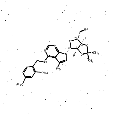 Bc1cn([C@@H]2O[C@H](CO)[C@H]3OC(C)(C)O[C@H]32)c2ncnc(NCc3ccc(OC)cc3OC)c12